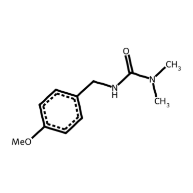 COc1ccc(CNC(=O)N(C)C)cc1